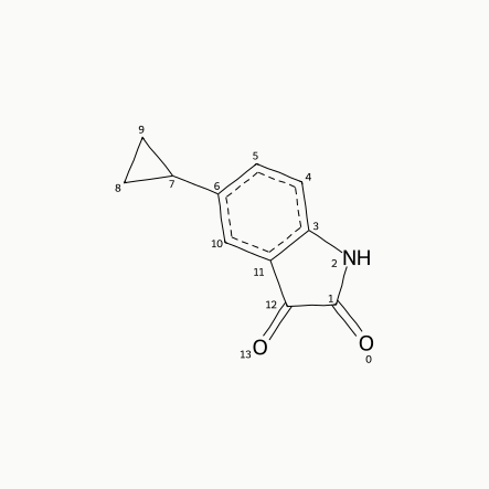 O=C1Nc2ccc(C3CC3)cc2C1=O